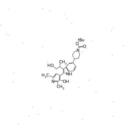 Cc1cc(-c2[nH]c3ccc(C4CCN(C(=O)OC(C)(C)C)CC4)cc3c2C(C)CO)c(O)c(C)n1